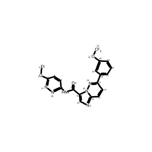 CCOc1ccc(NC(=O)c2cnc3ccc(-c4cccc(OC(F)(F)F)c4)nn23)nn1